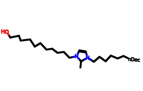 CCCCCCCCCCCCCCCCN1C=CN(CCCCCCCCCCCO)C1C